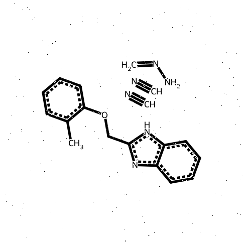 C#N.C#N.C=NN.Cc1ccccc1OCc1nc2ccccc2[nH]1